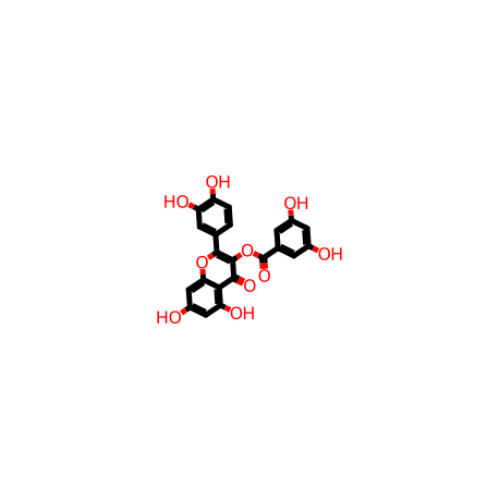 O=C(Oc1c(-c2ccc(O)c(O)c2)oc2cc(O)cc(O)c2c1=O)c1cc(O)cc(O)c1